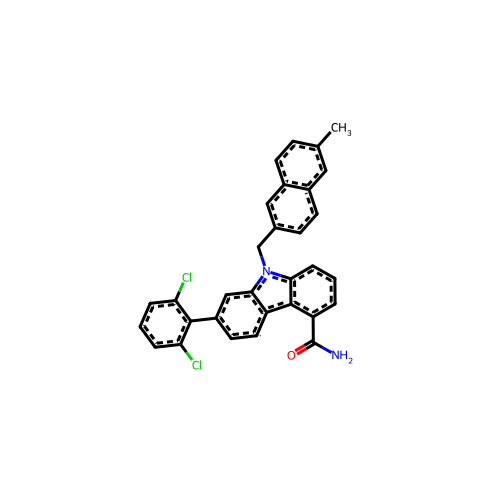 Cc1ccc2cc(Cn3c4cc(-c5c(Cl)cccc5Cl)c[c]c4c4c(C(N)=O)cccc43)ccc2c1